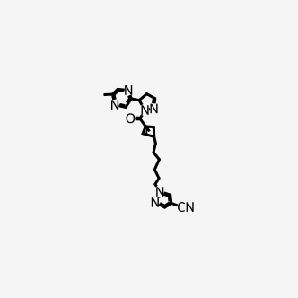 Cc1cnc(C2CC=NN2C(=O)C23CC(CCCCCCn4cc(C#N)cn4)(C2)C3)cn1